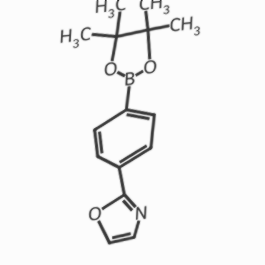 CC1(C)OB(c2ccc(-c3ncco3)cc2)OC1(C)C